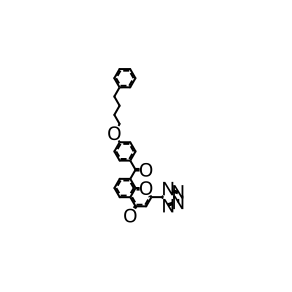 O=C(c1ccc(OCCCCc2ccccc2)cc1)c1cccc2c(=O)cc(C3N=NN=N3)oc12